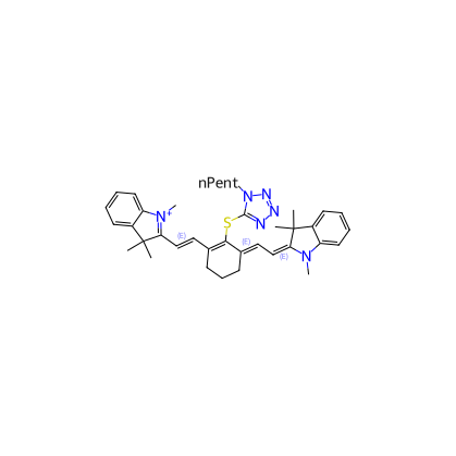 CCCCCn1nnnc1SC1=C(/C=C/C2=[N+](C)c3ccccc3C2(C)C)CCC/C1=C\C=C1\N(C)c2ccccc2C1(C)C